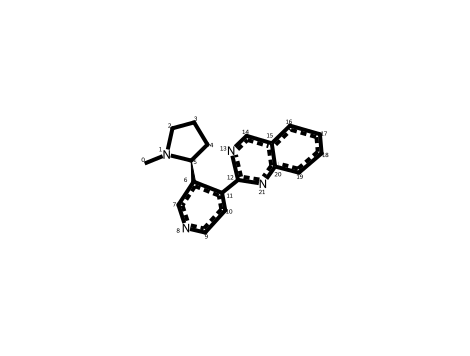 CN1CCC[C@H]1c1cnccc1-c1ncc2ccccc2n1